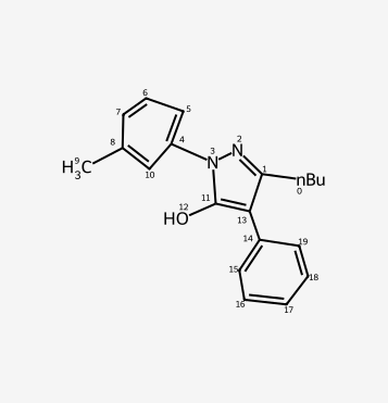 CCCCc1nn(-c2cccc(C)c2)c(O)c1-c1ccccc1